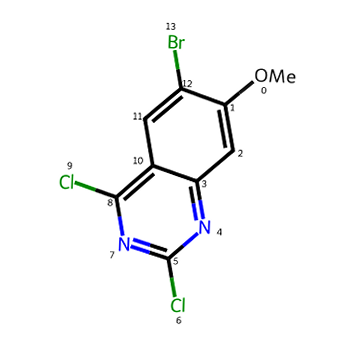 COc1cc2nc(Cl)nc(Cl)c2cc1Br